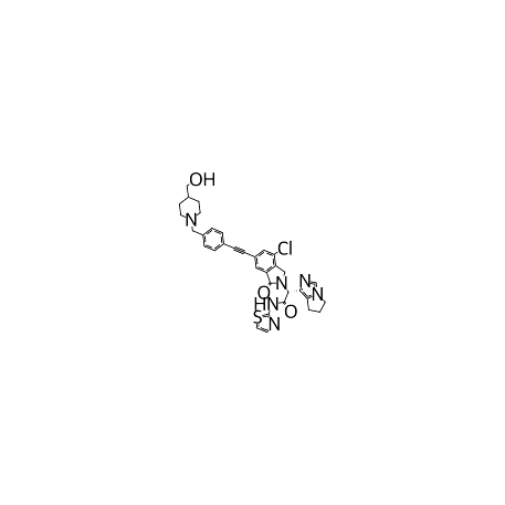 O=C(Nc1nccs1)[C@@H](c1ncn2c1CCC2)N1Cc2c(Cl)cc(C#Cc3ccc(CN4CCC(CO)CC4)cc3)cc2C1=O